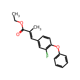 CCOC(=O)/C(C)=C/c1ccc(Oc2ccccc2)c(F)c1